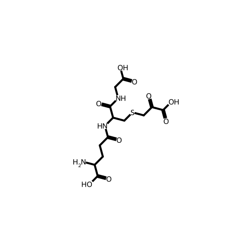 NC(CCC(=O)NC(CSCC(=O)C(=O)O)C(=O)NCC(=O)O)C(=O)O